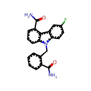 NC(=O)c1ccccc1Cn1c2ccc(F)[c]c2c2c(C(N)=O)cccc21